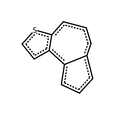 c1cc2cccc3sccc3c-2c1